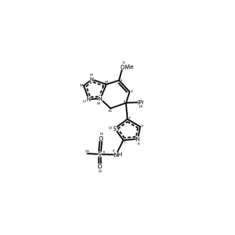 COC1=CC(c2cnc(NS(C)(=O)=O)s2)(C(C)C)Cn2ncnc21